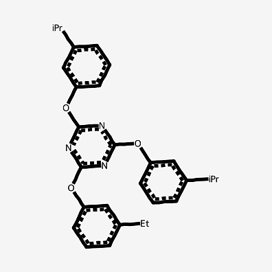 CCc1cccc(Oc2nc(Oc3cccc(C(C)C)c3)nc(Oc3cccc(C(C)C)c3)n2)c1